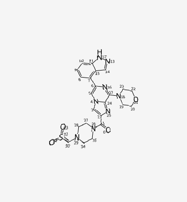 O=C(c1cn2cc(-c3cccc4[nH]ncc34)nc(N3CCOCC3)c2n1)N1CCN(C=S(=O)=O)CC1